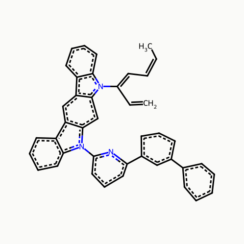 C=C/C(=C\C=C/C)n1c2ccccc2c2cc3c4ccccc4n(-c4cccc(-c5cccc(-c6ccccc6)c5)n4)c3cc21